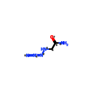 [N-]=[N+]=NNCC(N)=O